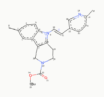 Cc1ccc2c(c1)c1c(n2/C=C/c2ccc(C)nc2)CCN(C(=O)OC(C)(C)C)C1